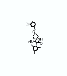 Cc1cc(C)c(C2=C(O)C3(CCC(OCc4cccc(Cl)c4)CC3)NC2=O)c(C)c1